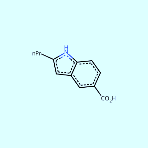 CCCc1cc2cc(C(=O)O)ccc2[nH]1